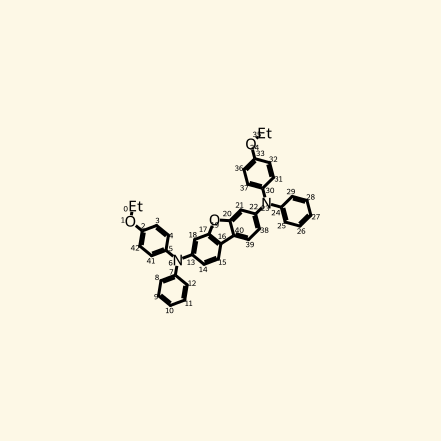 CCOc1ccc(N(c2ccccc2)c2ccc3c(c2)oc2cc(N(c4ccccc4)c4ccc(OCC)cc4)ccc23)cc1